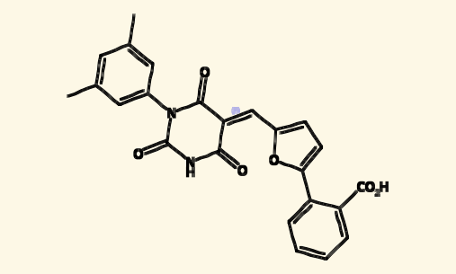 Cc1cc(C)cc(N2C(=O)NC(=O)/C(=C\c3ccc(-c4ccccc4C(=O)O)o3)C2=O)c1